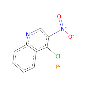 O=[N+]([O-])c1cnc2ccccc2c1Cl.[P]